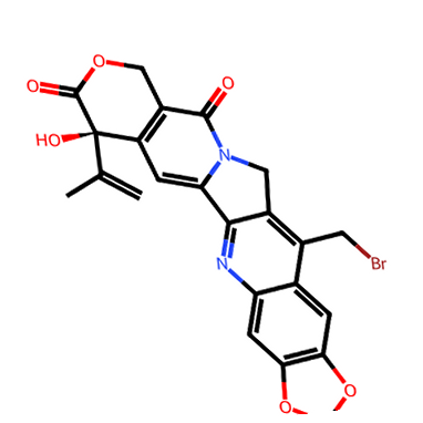 C=C(C)[C@]1(O)C(=O)OCc2c1cc1n(c2=O)Cc2c-1nc1cc3c(cc1c2CBr)OCO3